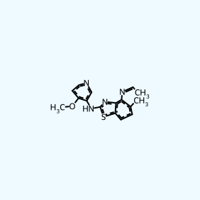 C/C=N\c1c(C)ccc2sc(Nc3cnccc3OC)nc12